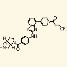 O=C(CCC(F)(F)F)N1CC=C(c2cccn3nc(Nc4ccc(C(=O)N5CC[C@H]6CNC[C@H]65)cc4)nc23)CC1